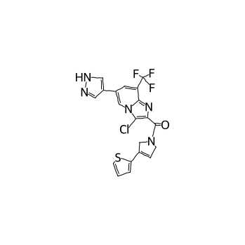 O=C(c1nc2c(C(F)(F)F)cc(-c3cn[nH]c3)cn2c1Cl)N1CC=C(c2cccs2)C1